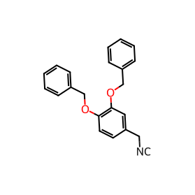 [C-]#[N+]Cc1ccc(OCc2ccccc2)c(OCc2ccccc2)c1